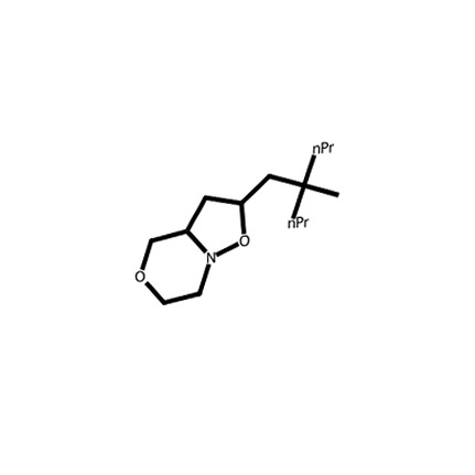 CCCC(C)(CCC)CC1CC2COCCN2O1